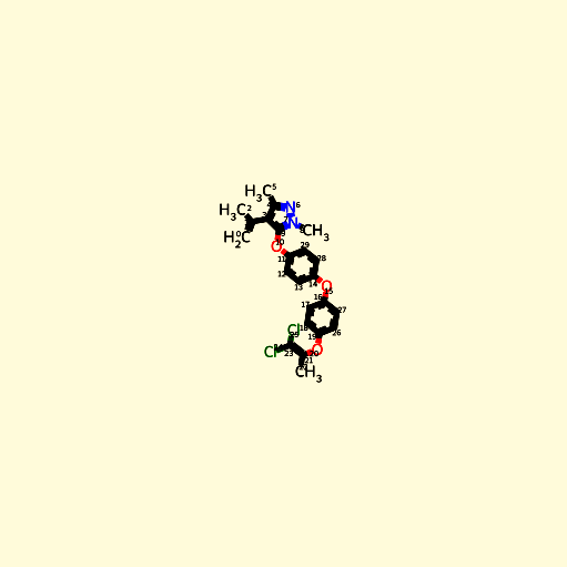 C=C(C)c1c(C)nn(C)c1Oc1ccc(Oc2ccc(OC(C)=C(Cl)Cl)cc2)cc1